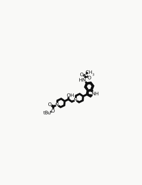 CC(C)(C)OC(=O)N1CCC(C(O)CN2CCC(c3c[nH]c4ccc(NS(C)(=O)=O)cc34)CC2)CC1